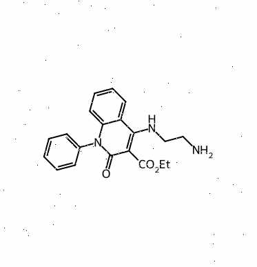 CCOC(=O)c1c(NCCN)c2ccccc2n(-c2ccccc2)c1=O